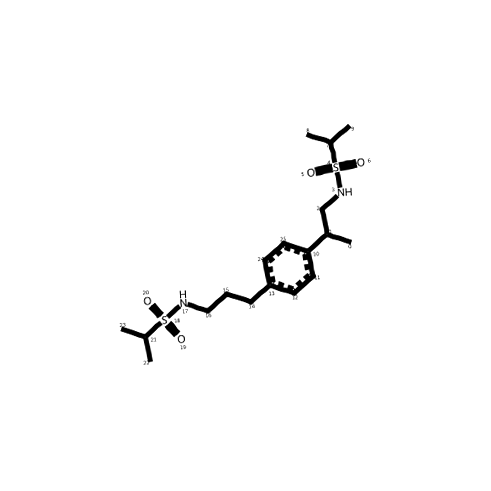 CC(CNS(=O)(=O)C(C)C)c1ccc(CCCNS(=O)(=O)C(C)C)cc1